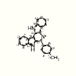 Cc1ccc(-c2nc3c4ccccc4[nH]c3c3c2[nH]c2ccccc23)cc1